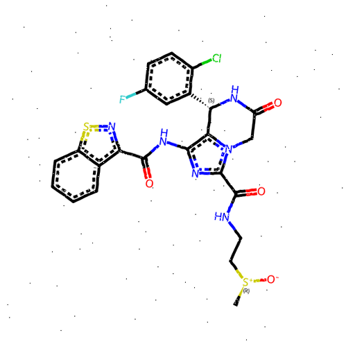 C[S@+]([O-])CCNC(=O)c1nc(NC(=O)c2nsc3ccccc23)c2n1CC(=O)N[C@H]2c1cc(F)ccc1Cl